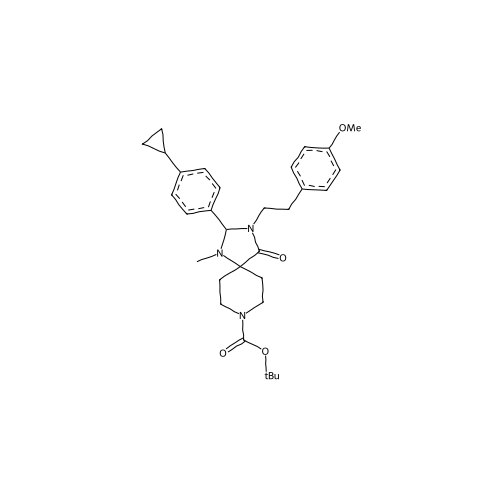 COc1ccc(CCN2C(=O)C3(CCN(C(=O)OC(C)(C)C)CC3)N(C)C2c2ccc(C3CC3)cc2)cc1